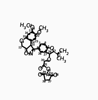 C=C(C)[C@@H]1Oc2ccc(C3=NOC4COc5cc(OC)c(OC)cc5C34)cc2C1OCC(=O)ON1C(=O)CCC1=O